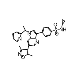 Cc1noc(C)c1-c1cnc2c(-c3ccc(S(=O)(=O)NC4CC4)cc3)cn(C(C)c3ccccn3)c2c1